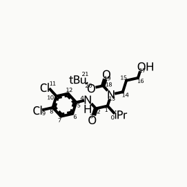 CC(C)C(C(=O)Nc1ccc(Cl)c(Cl)c1)N(CCCO)C(=O)OC(C)(C)C